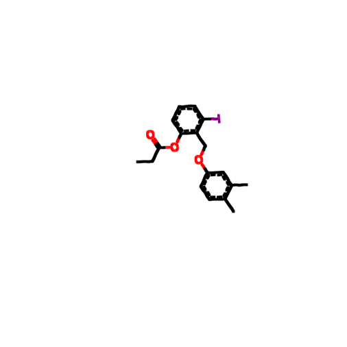 CCC(=O)Oc1cccc(I)c1COc1ccc(C)c(C)c1